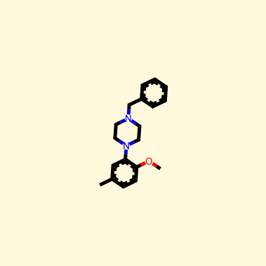 COc1ccc(C)cc1N1CCN(Cc2ccccc2)CC1